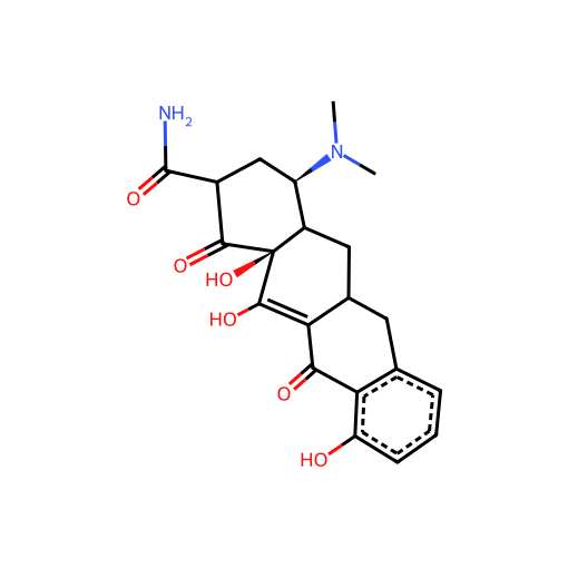 CN(C)[C@@H]1CC(C(N)=O)C(=O)[C@@]2(O)C(O)=C3C(=O)c4c(O)cccc4CC3CC12